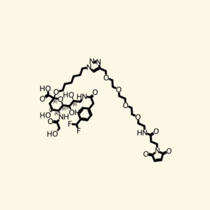 O=C(CCN1C(=O)C=CC1=O)NCCOCCOCCOCCOCc1cn(CCCCCCO[C@]2(C(=O)O)C[C@H](O)[C@@H](NC(=O)CO)[C@H]([C@H](O)[C@H](O)CNC(=O)Cc3ccc(C(F)F)cc3)O2)nn1